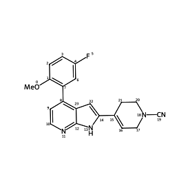 COc1ccc(F)cc1-c1ccnc2[nH]c(C3=CCN(C#N)CC3)cc12